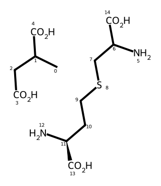 CC(CC(=O)O)C(=O)O.NC(CSCC[C@H](N)C(=O)O)C(=O)O